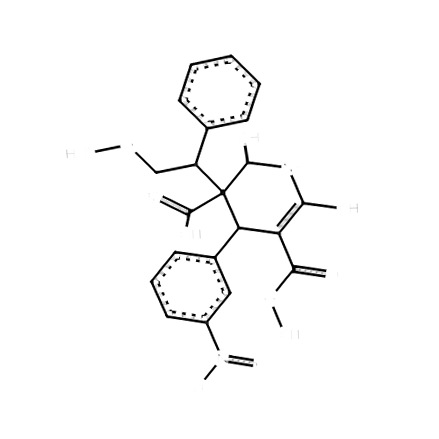 COCC(c1ccccc1)C1(C(=O)O)C(C)NC(C)=C(C(=O)OC)C1c1cccc([N+](=O)[O-])c1